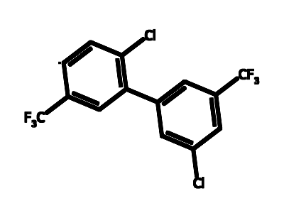 FC(F)(F)c1[c]cc(Cl)c(-c2cc(Cl)cc(C(F)(F)F)c2)c1